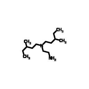 CCC(C)CCN(CCN)CCC(C)CC